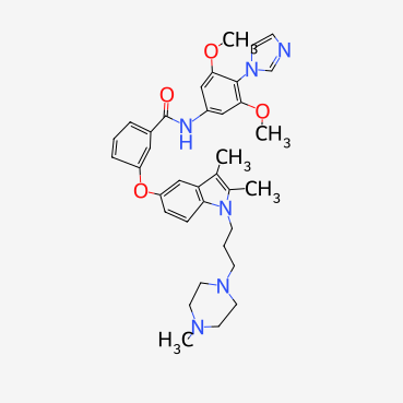 COc1cc(NC(=O)c2cccc(Oc3ccc4c(c3)c(C)c(C)n4CCCN3CCN(C)CC3)c2)cc(OC)c1-n1ccnc1